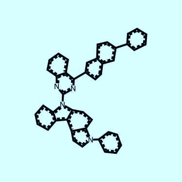 c1ccc(-c2ccc3cc(-c4nc(-n5c6ccccc6c6c7ccn(-c8ccccc8)c7ccc65)nc5ccccc45)ccc3c2)cc1